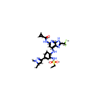 CCS(=O)(=O)Nc1cc(-c2cc(C)n(C)n2)ccc1Nc1cc(NC(=O)C2CC2)nc2[nH]c(C(F)F)nc12